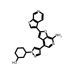 Nc1ncc(-c2cnn(C3CCCC(O)C3)c2)c2cc(-c3csc4cnccc34)oc12